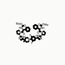 COC(=O)N[C@@H](C(=O)N1CCC[C@H]1c1ncc(-c2cc(F)c(N3CCC(C)(c4cnc([C@@H]5CCCN5C(=O)[C@H](NC(=O)OC)c5ccccc5)[nH]4)CC3)c(F)c2)[nH]1)c1ccccc1